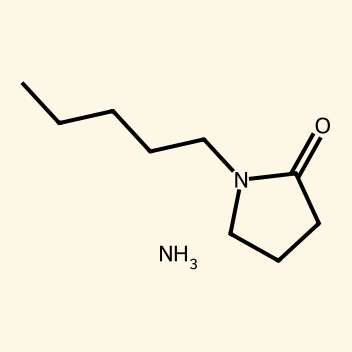 CCCCCN1CCCC1=O.N